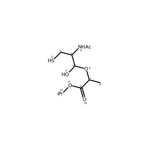 CC(=O)NC(CS)C(O)OC(C)C(=O)OC(C)C